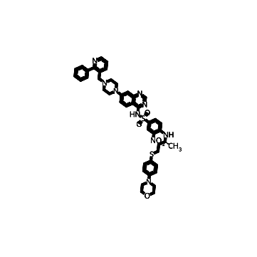 C[C@H](CCSc1ccc(N2CCOCC2)cc1)Nc1ccc(S(=O)(=O)Nc2ncnc3cc(N4CCN(Cc5cccnc5-c5ccccc5)CC4)ccc23)cc1[N+](=O)[O-]